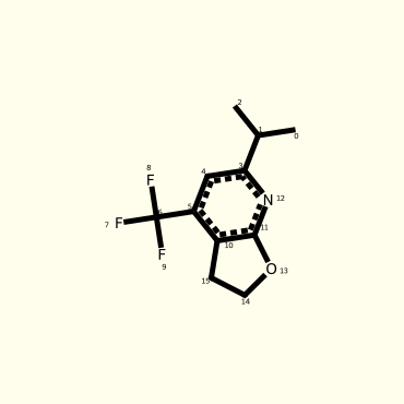 CC(C)c1cc(C(F)(F)F)c2c(n1)OCC2